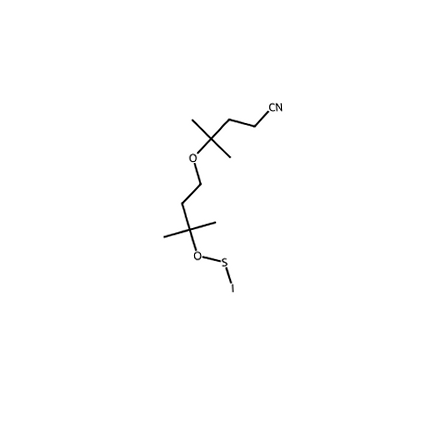 CC(C)(CCC#N)OCCC(C)(C)OSI